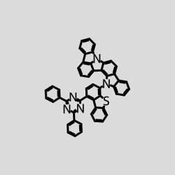 c1ccc(-c2nc(-c3ccccc3)nc(-c3ccc(-n4c5ccccc5c5ccc6c(c7cccc8c9ccccc9n6c87)c54)c4sc5ccccc5c34)n2)cc1